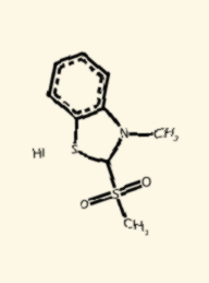 CN1c2ccccc2SC1S(C)(=O)=O.I